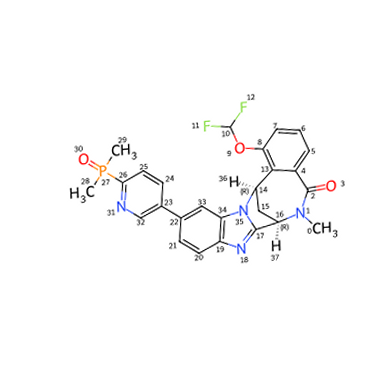 CN1C(=O)c2cccc(OC(F)F)c2[C@H]2C[C@@H]1c1nc3ccc(-c4ccc(P(C)(C)=O)nc4)cc3n12